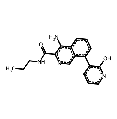 CCCNC(=O)c1ncc2c(-c3cccnc3O)cccc2c1N